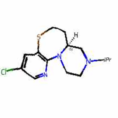 CC(C)N1CCN2c3ncc(Cl)cc3SCC[C@H]2C1